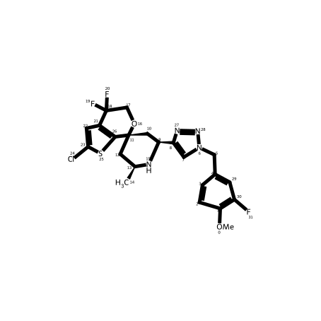 COc1ccc(Cn2cc([C@@H]3C[C@]4(C[C@H](C)N3)OCC(F)(F)c3cc(Cl)sc34)nn2)cc1F